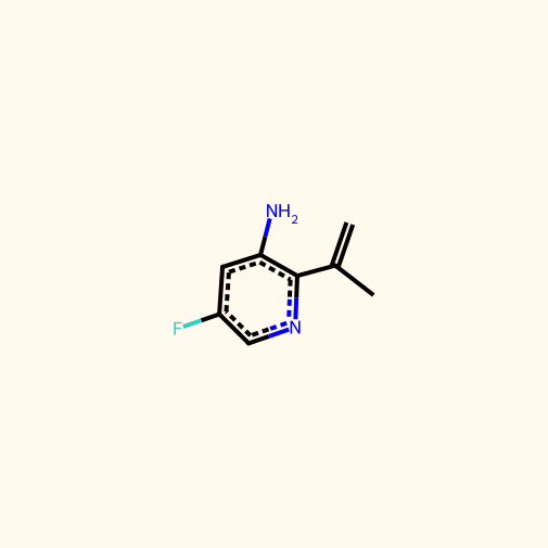 C=C(C)c1ncc(F)cc1N